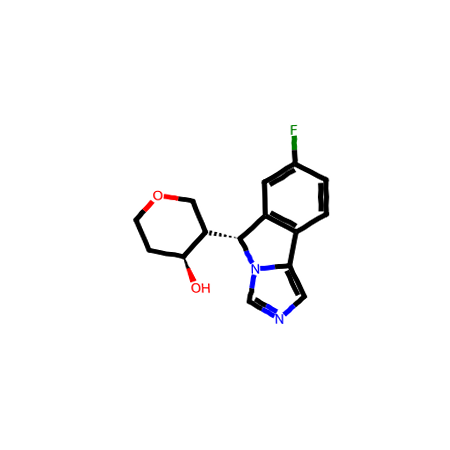 O[C@H]1CCOCC1[C@@H]1c2cc(F)ccc2-c2cncn21